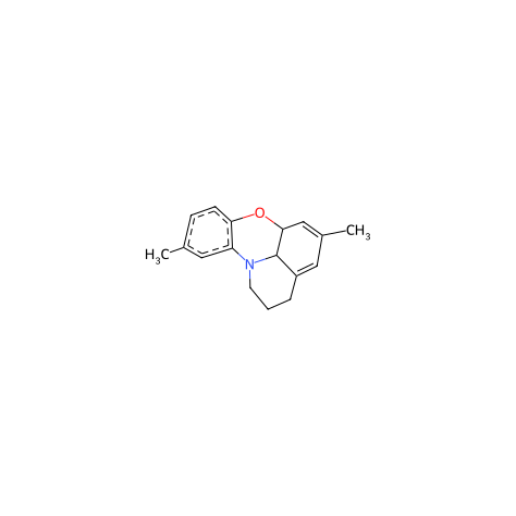 CC1=CC2Oc3ccc(C)cc3N3CCCC(=C1)C23